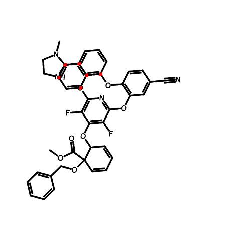 COC(=O)C1(OCc2ccccc2)C=CC=CC1Oc1c(F)c(Oc2cc(C#N)ccc2OCc2ccccc2)nc(Oc2ccccc2C2NCCN2C)c1F